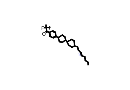 CCCC/C=C/CCC1CCC(C2CCC(c3ccc(C(=O)C(C)(F)F)cc3)CC2)CC1